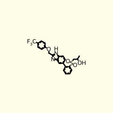 CC(O)CS(=O)(=O)c1ccccc1-c1ccc2[nH]c(COc3ccc(C(F)(F)F)cc3)nc2c1